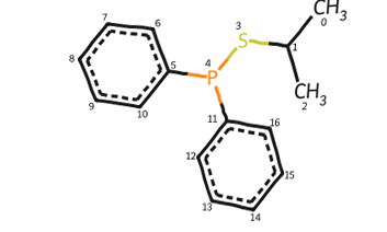 CC(C)SP(c1ccccc1)c1ccccc1